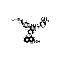 CN1CCO[C@@H](COc2nc3c(c(N4CCN(C=CC=O)CC4)n2)CCN(c2cc(O)cc4ccccc24)C3)C1